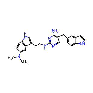 CN(C)c1ccc2[nH]cc(CCNc3ncc(Cc4ccc5[nH]ccc5c4)c(N)n3)c2c1